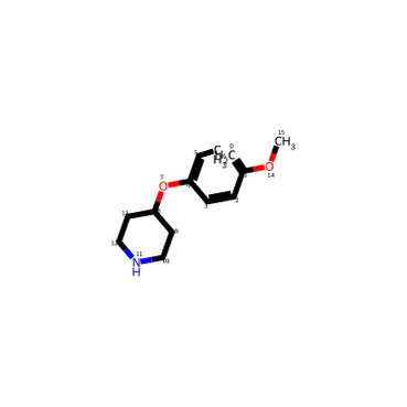 C=C(/C=C\C(=C/C)OC1CCNCC1)OC